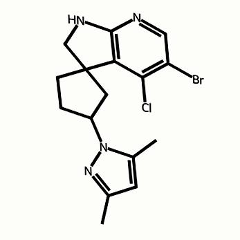 Cc1cc(C)n(C2CCC3(CNc4ncc(Br)c(Cl)c43)C2)n1